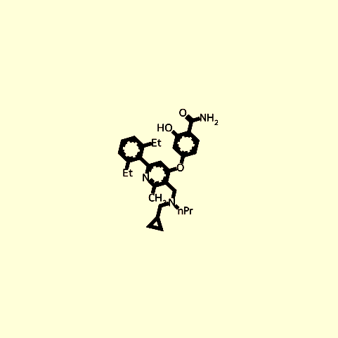 CCCN(Cc1c(Oc2ccc(C(N)=O)c(O)c2)cc(-c2c(CC)cccc2CC)nc1C)CC1CC1